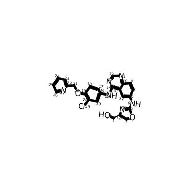 OC[C@@H]1COC(Nc2ccc3ncnc(Nc4ccc(OCc5ccccn5)c(Cl)c4)c3c2)=N1